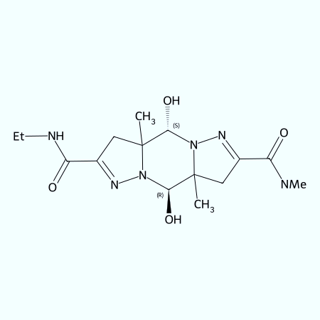 CCNC(=O)C1=NN2[C@H](O)C3(C)CC(C(=O)NC)=NN3[C@@H](O)C2(C)C1